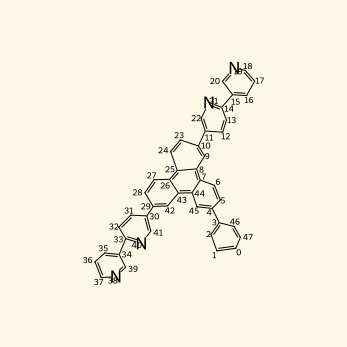 c1ccc(-c2ccc3c4cc(-c5ccc(-c6cccnc6)nc5)ccc4c4ccc(-c5ccc(-c6cccnc6)nc5)cc4c3c2)cc1